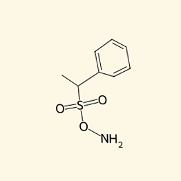 CC(c1ccccc1)S(=O)(=O)ON